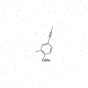 CC#Cc1ccc(OC)c(C)c1